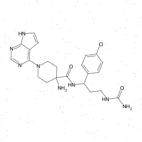 NC(=O)NCCC(NC(=O)C1(N)CCN(c2ncnc3[nH]ccc23)CC1)c1ccc(Cl)cc1